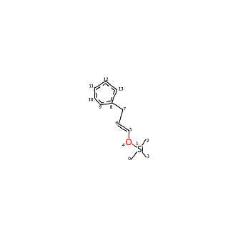 C[Si](C)(C)OC=CCc1ccccc1